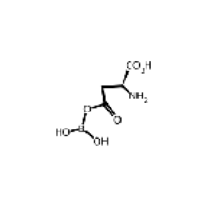 N[C@@H](CC(=O)OB(O)O)C(=O)O